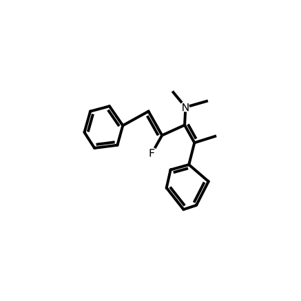 CC(=C(C(F)=Cc1ccccc1)N(C)C)c1ccccc1